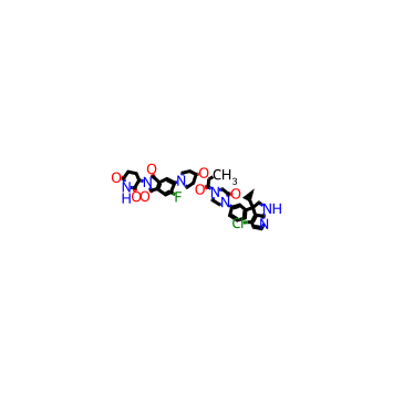 CC(OC1CCN(c2cc3c(cc2F)C(=O)N(C2CCC(=O)NC2=O)C3=O)CC1)C(=O)N1CCN(c2cccc(C3(C4CC4)CNc4nccc(Cl)c43)c2)C(=O)C1